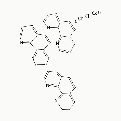 [Cl-].[Cl-].[Cl-].[Co+3].c1cnc2c(c1)ccc1cccnc12.c1cnc2c(c1)ccc1cccnc12.c1cnc2c(c1)ccc1cccnc12